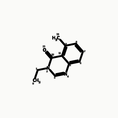 CCn1cnc2cccc(C)c2c1=O